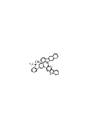 CC1(C)c2ccccc2-c2cc(-c3nc4sc5ccccc5c4nc3-n3c4ccccc4c4cc5ccccc5cc43)ccc21